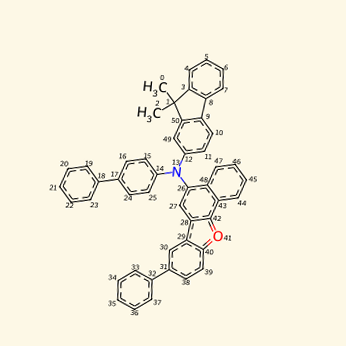 CC1(C)c2ccccc2-c2ccc(N(c3ccc(-c4ccccc4)cc3)c3cc4c5cc(-c6ccccc6)ccc5oc4c4ccccc34)cc21